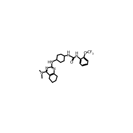 CN(C)c1nc(NC2CCC(NC(=O)Nc3ccccc3OC(F)(F)F)CC2)nc2c1CCCC2